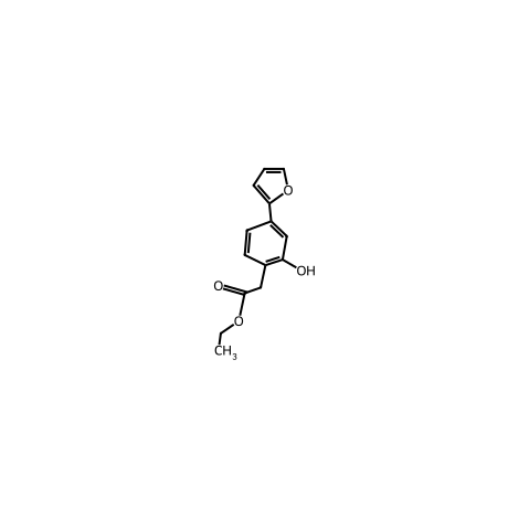 CCOC(=O)Cc1ccc(-c2ccco2)cc1O